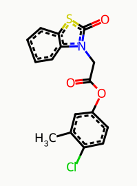 Cc1cc(OC(=O)Cn2c(=O)sc3ccccc32)ccc1Cl